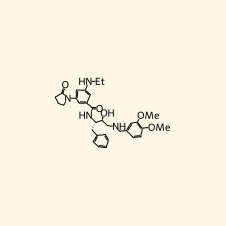 CCNc1cc(C(=O)N[C@@H](Cc2ccccc2)[C@@H](O)CNCc2ccc(OC)c(OC)c2)cc(N2CCCC2=O)c1